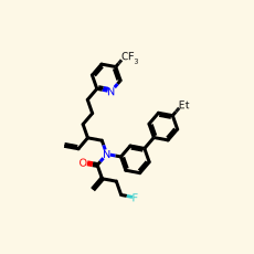 C=CC(CCCc1ccc(C(F)(F)F)cn1)CN(C(=O)C(=C)CCF)c1cccc(-c2ccc(CC)cc2)c1